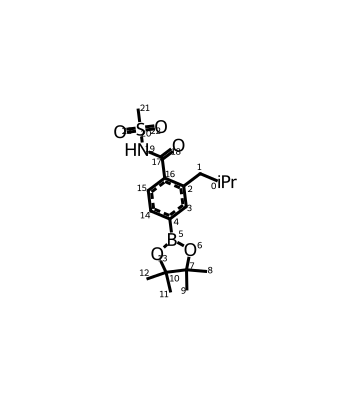 CC(C)Cc1cc(B2OC(C)(C)C(C)(C)O2)ccc1C(=O)NS(C)(=O)=O